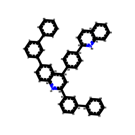 c1ccc(-c2cccc(-c3ccc4nc(-c5cccc(-c6ccccc6)c5)cc(-c5ccc(-c6ccc7ccccc7n6)cc5)c4c3)c2)cc1